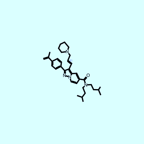 C=C(C)c1ccc(-c2nn3ccc(C(=O)N(CCC(C)C)CCC(C)C)cc3c2/C=C/CN2CCCCC2)cc1